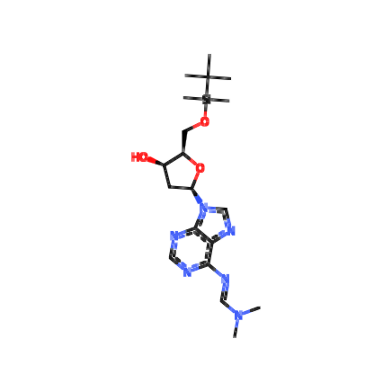 CN(C)/C=N/c1ncnc2c1ncn2[C@H]1C[C@@H](O)[C@@H](CO[Si](C)(C)C(C)(C)C)O1